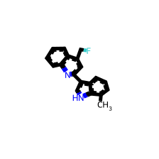 Cc1cccc2c(-c3cc(CF)c4ccccc4n3)c[nH]c12